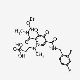 CCOCN(C)C(=O)c1c(O)c(=O)c(C(=O)NCc2ccc(F)cc2F)cn1N(C)CCP(=O)(O)O